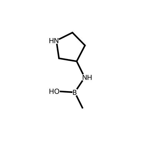 CB(O)NC1CCNC1